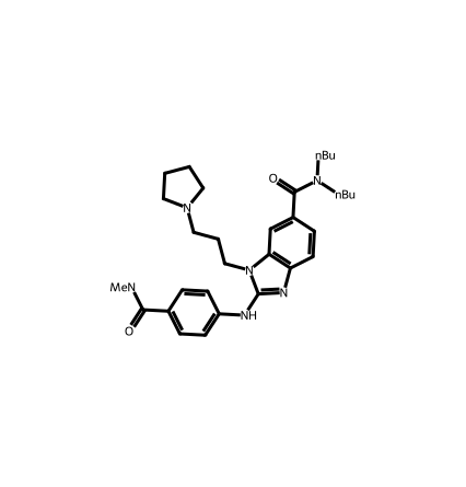 CCCCN(CCCC)C(=O)c1ccc2nc(Nc3ccc(C(=O)NC)cc3)n(CCCN3CCCC3)c2c1